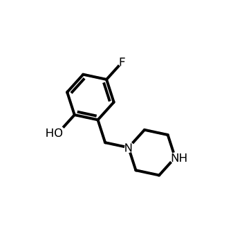 Oc1ccc(F)cc1CN1CCNCC1